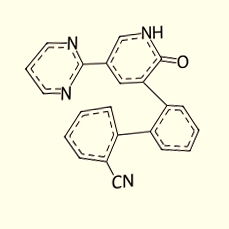 N#Cc1ccccc1-c1ccccc1-c1cc(-c2ncccn2)c[nH]c1=O